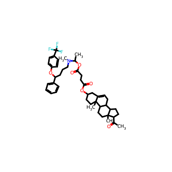 CC(=O)C1CCC2C3CC=C4CC(OC(=O)CCC(=O)OC(C)N(C)CCCC(Oc5ccc(C(F)(F)F)cc5)c5ccccc5)CCC4(C)C3CCC12C